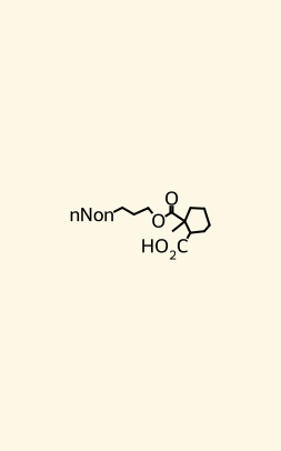 CCCCCCCCCCCCOC(=O)C1(C)CCCCC1C(=O)O